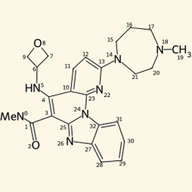 CNC(=O)c1c(NC2COC2)c2ccc(N3CCCN(C)CC3)nc2n2c1nc1ccccc12